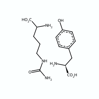 NC(=O)NCCCC(N)C(=O)O.N[C@@H](Cc1ccc(O)cc1)C(=O)O